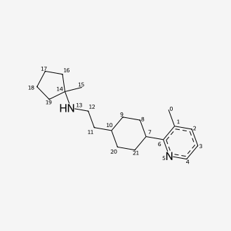 Cc1cccnc1C1CCC(CCNC2(C)CCCC2)CC1